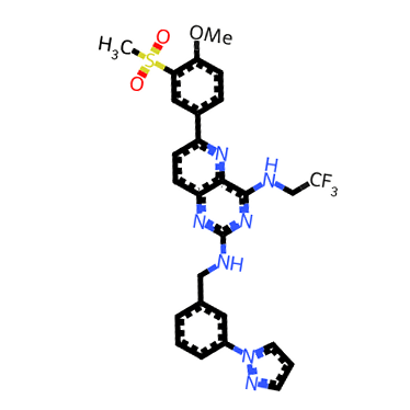 COc1ccc(-c2ccc3nc(NCc4cccc(-n5cccn5)c4)nc(NCC(F)(F)F)c3n2)cc1S(C)(=O)=O